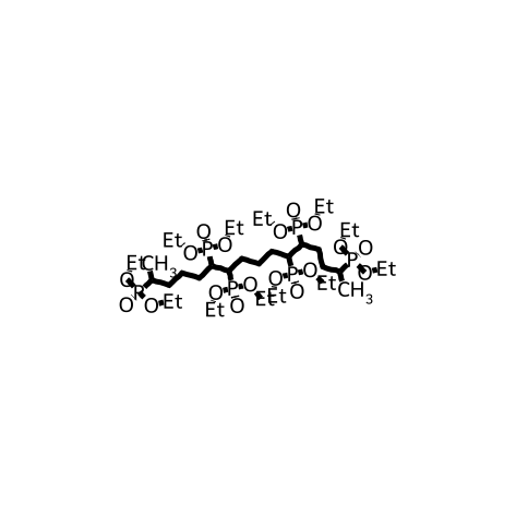 CCOP(=O)(OCC)C(C)CCCC(C(CCCC(C(CCC(C)P(=O)(OCC)OCC)P(=O)(OCC)OCC)P(=O)(OCC)OCC)P(=O)(OCC)OCC)P(=O)(OCC)OCC